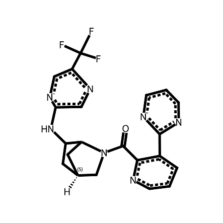 O=C(c1ncccc1-c1ncccn1)N1C[C@H]2CC(Nc3cnc(C(F)(F)F)cn3)C1C2